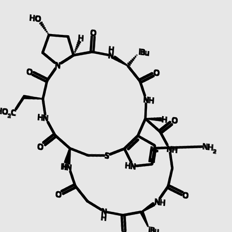 CC[C@H](C)[C@@H]1NC(=O)CNC(=O)[C@H]2NC(=O)[C@H]([C@@H](C)CC)NC(=O)[C@@H]3C[C@@H](O)CN3C(=O)[C@H](CC(=O)O)NC(=O)[C@H](CSc3[nH]c4ccc(N)cc4c32)NC(=O)CNC1=O